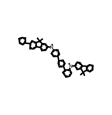 CN(c1ccc(-c2ccc(-c3ccccc3N(C)c3ccc4c(c3)C(C)(C)c3ccccc3-4)cc2)cc1)c1ccc2c(c1)C(C)(C)c1cc(-c3ccccc3)ccc1-2